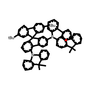 CC(C)(C)c1ccc2c(c1)C1(c3cc(C(C)(C)C)ccc3-2)c2cc(N(c3ccc4c(c3)-c3ccccc3C4(C)C)c3ccccc3-c3ccccc3)ccc2-c2c(N3c4ccccc4C(C)(C)c4ccccc43)cccc21